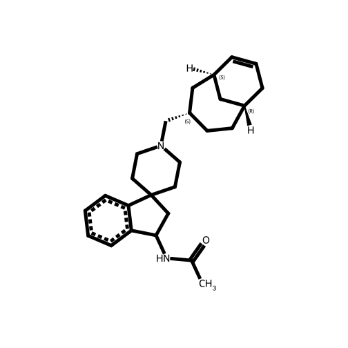 CC(=O)NC1CC2(CCN(C[C@H]3CC[C@H]4CC=C[C@@H](C4)C3)CC2)c2ccccc21